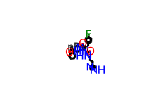 CCCC(=O)C1(C2CCCCC2)CCN(C(=O)[C@@H](Cc2ccc(F)cc2)NC(=O)NCCCc2c[nH]cn2)CC1